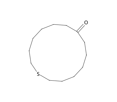 O=C1CCCCCCSCCCCCC1